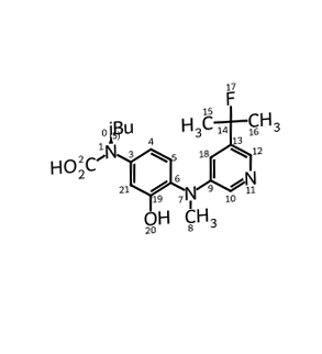 CC[C@H](C)N(C(=O)O)c1ccc(N(C)c2cncc(C(C)(C)F)c2)c(O)c1